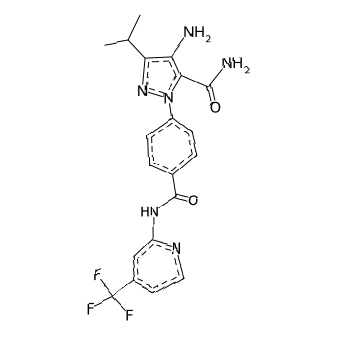 CC(C)c1nn(-c2ccc(C(=O)Nc3cc(C(F)(F)F)ccn3)cc2)c(C(N)=O)c1N